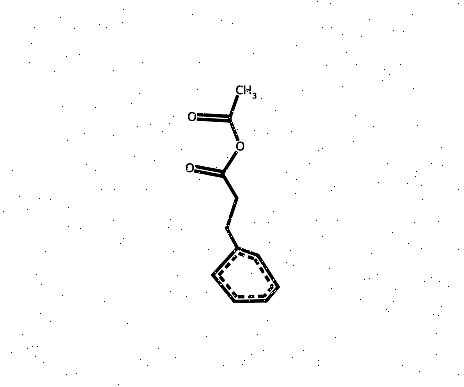 CC(=O)OC(=O)CCc1ccccc1